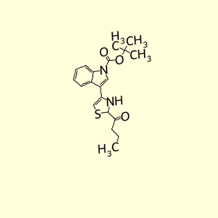 CCCC(=O)C1NC(c2cn(C(=O)OC(C)(C)C)c3ccccc23)=CS1